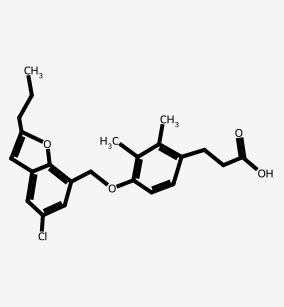 CCCc1cc2cc(Cl)cc(COc3ccc(CCC(=O)O)c(C)c3C)c2o1